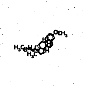 COCCC[C@@]1(C)CC[C@H]2[C@@H]3CCc4cc(OC)ccc4[C@H]3CC[C@@]21C